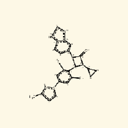 Cc1ccn(-c2cc(F)c([C@@H]3[C@H](C4CC4)C(=O)N3c3ccc4[nH]cnc4c3)c(F)c2)n1